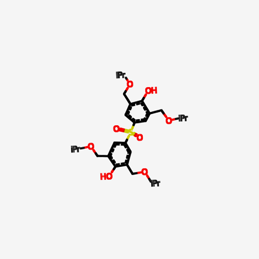 CC(C)OCc1cc(S(=O)(=O)c2cc(COC(C)C)c(O)c(COC(C)C)c2)cc(COC(C)C)c1O